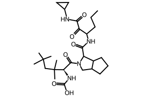 CCCC(NC(=O)C1C2CCCC2CN1C(=O)[C@@H](NC(=O)O)C(C)(C)CC(C)(C)C)C(=O)C(=O)NC1CC1